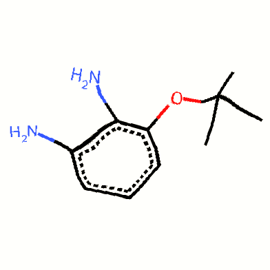 CC(C)(C)Oc1cccc(N)c1N